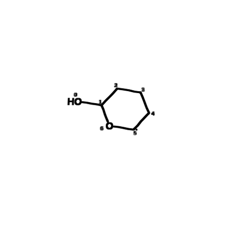 OC1CCC[CH]O1